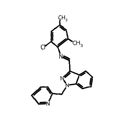 Cc1cc(C)c(/N=C/c2nn(Cc3ccccn3)c3ccccc23)c(Cl)c1